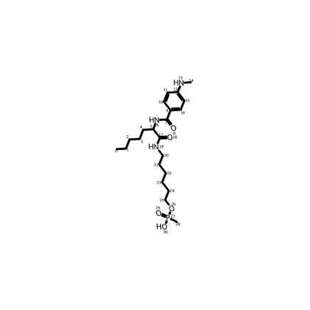 CCCCCC(NC(=O)c1ccc(NC)cc1)C(=O)NCCCCCCOP(C)(=O)O